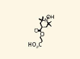 CC1(C)CC(C(=O)OCCC(=O)O)CC(C)(C)N1O